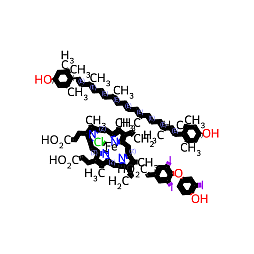 C=CC1=C(C)/C2=C/c3c(C=C)c(C)c4[n]3[Fe]([Cl])[n]3/c(c(C)c(CCC(=O)O)/c3=C/C3=NC(=C\4)/C(C)=C3CCC(=O)O)=C\C1=N2.CC1=C[C@H](O)CC(C)(C)[C@H]1/C=C/C(C)=C/C=C/C(C)=C/C=C/C=C(C)/C=C/C=C(C)/C=C/C1=C(C)C[C@@H](O)CC1(C)C.O=C(O)Cc1cc(I)c(Oc2ccc(O)c(I)c2)c(I)c1